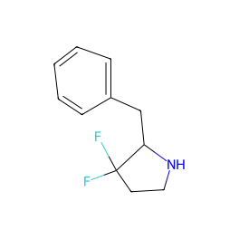 FC1(F)CCNC1Cc1ccccc1